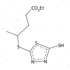 CCOC(=O)CCC(C)Sc1nnc(S)s1